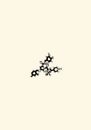 Cc1ccc(CO[C@@H]2C[C@@H](C(=O)NCc3ccc(F)c(F)c3)N(C(=O)[C@@H](CCC3CCNCC3)NS(C)(=O)=O)C2)c(F)c1